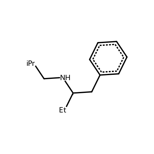 CC[C](Cc1ccccc1)NCC(C)C